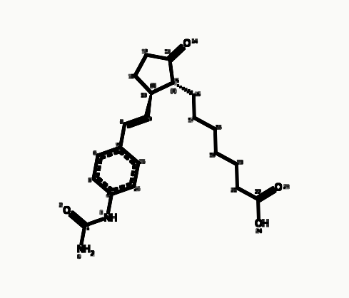 NC(=O)Nc1ccc(C=C[C@H]2CCC(=O)[C@@H]2CCCCCCC(=O)O)cc1